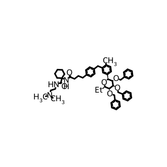 CC[C@H]1O[C@@H](c2ccc(C)c(Cc3ccc(CCCC(=O)NC4(C(=O)NCCN(C)C)CCCCC4)cc3)c2)[C@H](OCc2ccccc2)[C@@H](OCc2ccccc2)[C@@H]1OCc1ccccc1